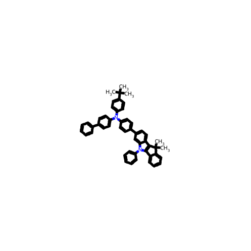 CC(C)(C)c1ccc(N(c2ccc(-c3ccccc3)cc2)c2ccc(-c3ccc4c5c(n(-c6ccccc6)c4c3)-c3ccccc3C5(C)C)cc2)cc1